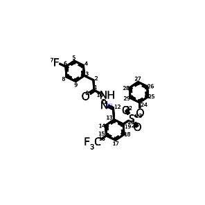 O=C(Cc1ccc(F)cc1)N/N=C/c1cc(C(F)(F)F)ccc1S(=O)(=O)Oc1ccccc1